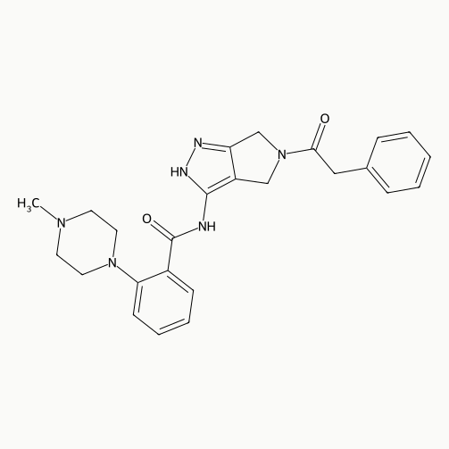 CN1CCN(c2ccccc2C(=O)Nc2[nH]nc3c2CN(C(=O)Cc2ccccc2)C3)CC1